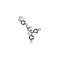 COc1ccc(OCC(=O)CS(=O)(=O)C(c2ccc(Cl)cc2)c2ccc(Cl)cc2)cc1